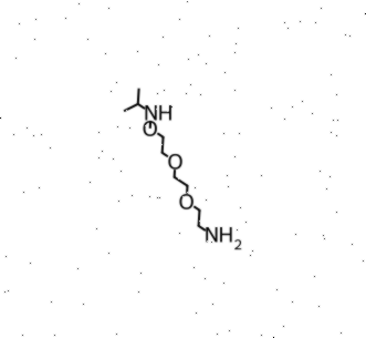 CC(C)NOCCOCCOCCN